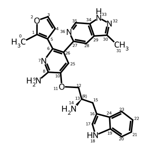 Cc1occc1-c1nc(N)c(OC[C@H](N)Cc2c[nH]c3ccccc23)cc1-c1cc2c(C)n[nH]c2cn1